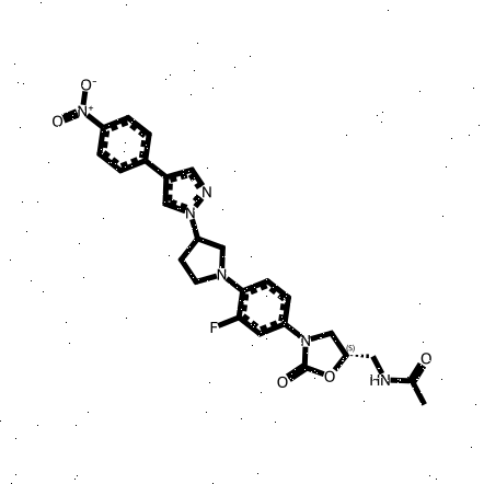 CC(=O)NC[C@H]1CN(c2ccc(N3CCC(n4cc(-c5ccc([N+](=O)[O-])cc5)cn4)C3)c(F)c2)C(=O)O1